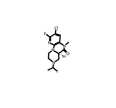 CC(I)N1CCN2c3nc(F)c(Cl)cc3N(C)C(=O)[C@H]2C1